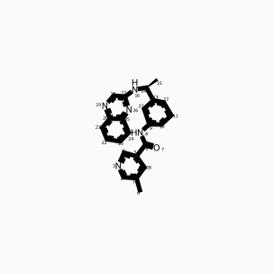 Cc1cncc(C(=O)Nc2cccc([C@H](C)Nc3cnc4ccccc4n3)c2)c1